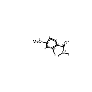 COc1ccc(C(=O)N(C)C)c(C)c1